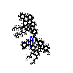 CCCCCCCCC1(CCCCCCCC)c2cc(C)ccc2-c2ccc(-c3cc(-c4ccc5c(c4)C(CCCCCCCC)(CCCCCCCC)c4cc(-c6cccc(-c7ccccc7-c7cccc(C)c7)c6)ccc4-5)nc(-c4nc5ccccc5n4-c4ccccc4)n3)cc21